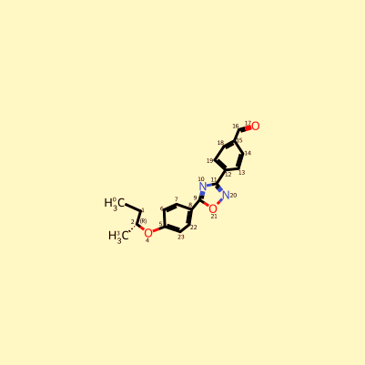 CC[C@@H](C)Oc1ccc(-c2nc(-c3ccc(C=O)cc3)no2)cc1